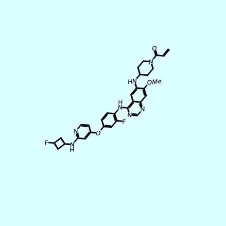 C=CC(=O)N1CCC(Nc2cc3c(Nc4ccc(Oc5ccnc(NC6CC(F)C6)c5)cc4F)ncnc3cc2OC)CC1